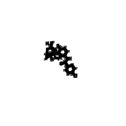 NC1=N[C@](CF)(c2cc(NC(=O)c3ccc(Cl)cn3)ccc2F)[C@@H]2C[C@]2(CO)S1